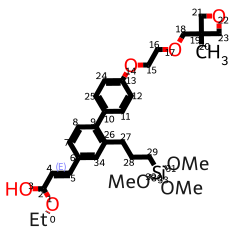 CCOC(O)/C=C/c1ccc(-c2ccc(OCCOCC3(C)COC3)cc2)c(CCC[Si](OC)(OC)OC)c1